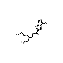 CCCCC(CC)COC(=O)c1cc2c(Br)scc2s1